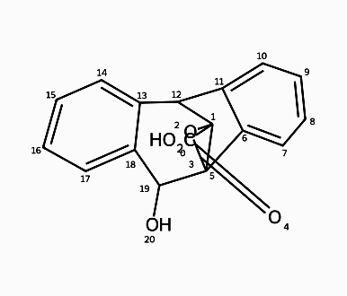 O=C(O)C12OC(=O)C13c1ccccc1C2c1ccccc1C3O